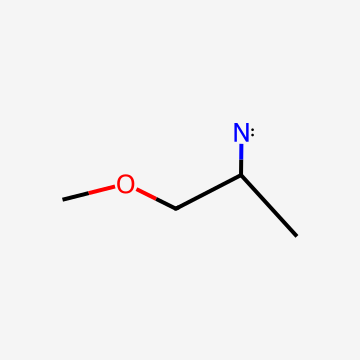 COCC(C)[N]